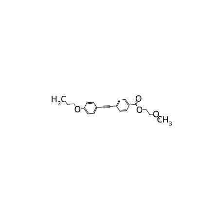 CCCOc1ccc(C#Cc2ccc(C(=O)OCCOC)cc2)cc1